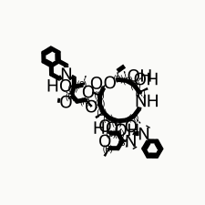 CC[C@H]1OC(=O)[C@H](C)[C@@H](O[C@H]2C[C@@](C)(OC)[C@](O)(CN3CCc4ccccc4C3)[C@H](C)O2)[C@H](C)[C@@H](O[C@@H]2O[C@H](C)C[C@H](N(C)C(=O)N(C)c3ccccc3)[C@H]2O)[C@](C)(O)C[C@@H](C)CN[C@H](C)[C@@H](O)[C@]1(C)O